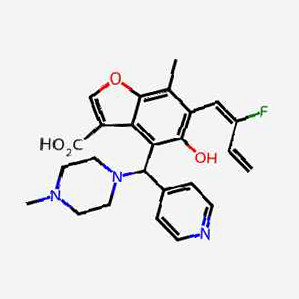 C=C/C(F)=C\c1c(O)c(C(c2ccncc2)N2CCN(C)CC2)c2c(C(=O)O)coc2c1C